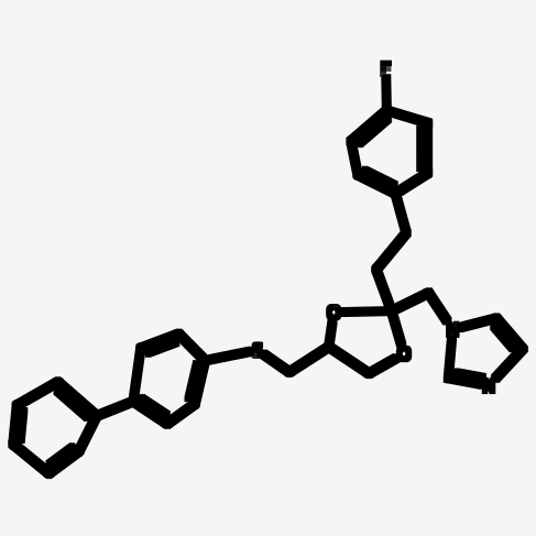 Fc1ccc(CCC2(Cn3ccnc3)OCC(CSc3ccc(-c4ccccc4)cc3)O2)cc1